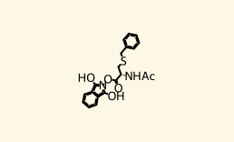 CC(=O)N[C@@H](CSCc1ccccc1)C(=O)On1c(O)c2ccccc2c1O